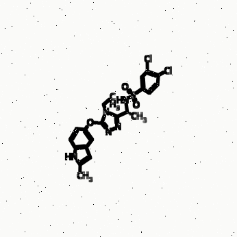 CCn1c(Oc2ccc3[nH]c(C)cc3c2)nnc1[C@@H](C)NS(=O)(=O)c1ccc(Cl)c(Cl)c1